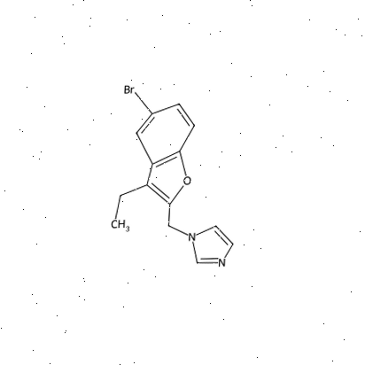 CCc1c(Cn2ccnc2)oc2ccc(Br)cc12